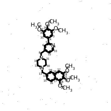 COc1cc(-c2cc(CN3CCN(Cc4ccc5c(OC)c(OC)c(OC)cc5c4)CC3)ccn2)cc(OC)c1OC